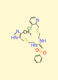 Cc1nc[nH]c1CSCCNC(=CS(=O)(=O)c1ccccc1)NCCSCc1ncccc1Cl